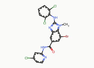 Cn1c(Nc2c(Cl)cccc2Cl)nc2cc(C(=O)Nc3cc(Cl)ccn3)cc(Br)c21